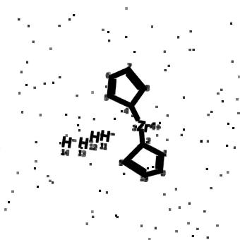 C1=C[CH]([Zr+4][CH]2C=CC=C2)C=C1.[H-].[H-].[H-].[H-]